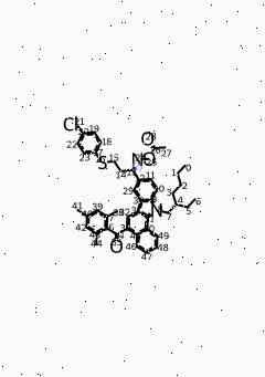 CCCCC(CC)Cn1c2ccc(/C(CCSc3ccc(Cl)cc3)=N\OC(C)=O)cc2c2cc(C(=O)c3c(C)cc(C)cc3C)c3ccccc3c21